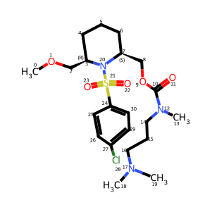 COC[C@H]1CCC[C@@H](COC(=O)N(C)CCCN(C)C)N1S(=O)(=O)c1ccc(Cl)cc1